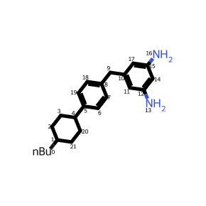 CCCCC1CCC(c2ccc(Cc3cc(N)cc(N)c3)cc2)CC1